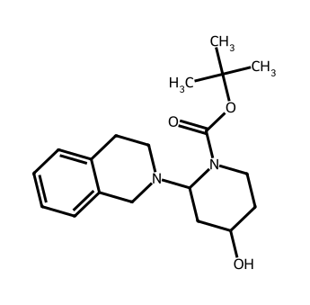 CC(C)(C)OC(=O)N1CCC(O)CC1N1CCc2ccccc2C1